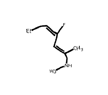 CC/C=C(F)\C=C(/C)NO